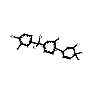 CCC(CC)(c1ccc(O)c(C)c1)c1ccc(C2C=CC(C)(C)C(O)=C2)c(C)c1